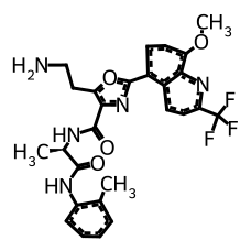 COc1ccc(-c2nc(C(=O)N[C@H](C)C(=O)Nc3ccccc3C)c(CCN)o2)c2ccc(C(F)(F)F)nc12